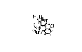 Clc1ccccc1.Cn1cncc1-c1ccnc(N)n1